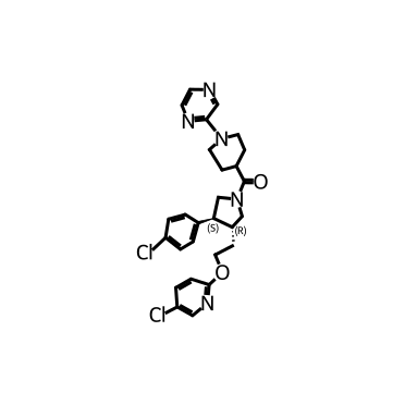 O=C(C1CCN(c2cnccn2)CC1)N1C[C@H](CCOc2ccc(Cl)cn2)[C@@H](c2ccc(Cl)cc2)C1